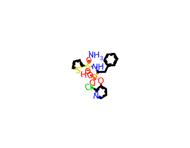 N.O=P(O)(Oc1cccnc1Cl)C(Cc1ccccc1)NS(=O)(=O)c1cccs1